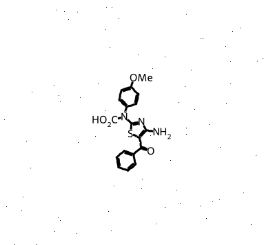 COc1ccc(N(C(=O)O)c2nc(N)c(C(=O)c3ccccc3)s2)cc1